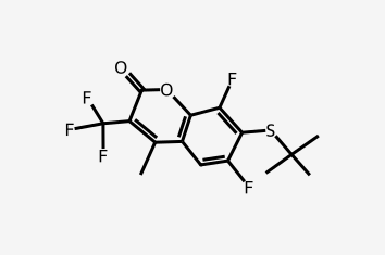 Cc1c(C(F)(F)F)c(=O)oc2c(F)c(SC(C)(C)C)c(F)cc12